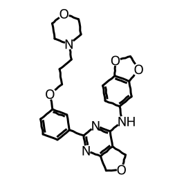 c1cc(OCCCN2CCOCC2)cc(-c2nc3c(c(Nc4ccc5c(c4)OCO5)n2)COC3)c1